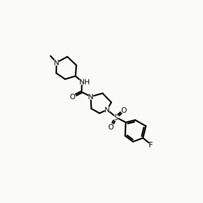 CN1CCC(NC(=O)N2CCN(S(=O)(=O)c3ccc(F)cc3)CC2)CC1